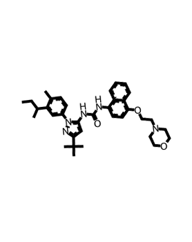 CCC(C)c1cc(-n2nc(C(C)(C)C)cc2NC(=O)Nc2ccc(OCCN3CCOCC3)c3ccccc23)ccc1C